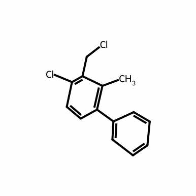 Cc1c(-c2ccccc2)ccc(Cl)c1CCl